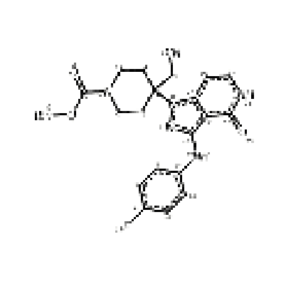 CC(C)(C)OC(=O)N1CCC(CC#N)(n2nc(Nc3ccc(F)cc3)c3c(=O)[nH]ccc32)CC1